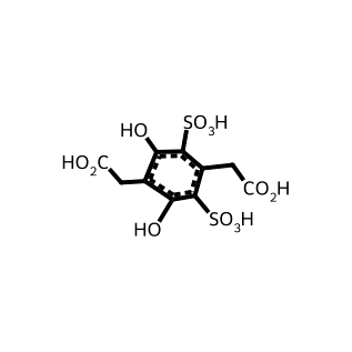 O=C(O)Cc1c(O)c(S(=O)(=O)O)c(CC(=O)O)c(S(=O)(=O)O)c1O